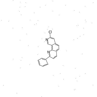 Clc1cc2ccc3ccc(-c4ccccc4)nc3c2cn1